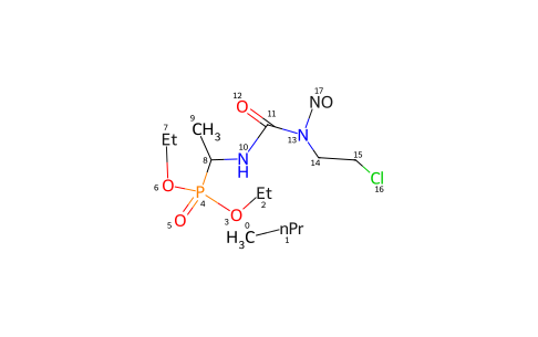 CCCC.CCOP(=O)(OCC)C(C)NC(=O)N(CCCl)N=O